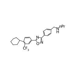 [CH2]CCNCc1ccc(-c2noc(-c3ccc(C4CCCCC4)c(C(F)(F)F)c3)n2)cc1